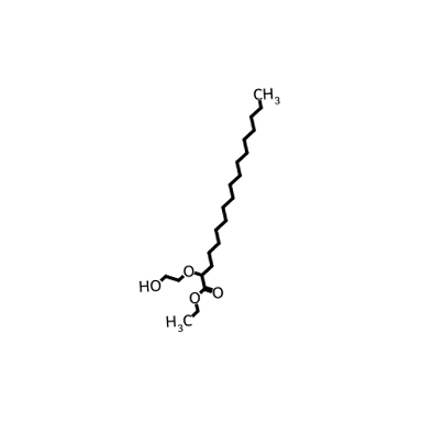 CCCCCCCCCCCCCCCCC(OCCO)C(=O)OCC